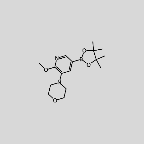 COc1ncc(B2OC(C)(C)C(C)(C)O2)cc1N1CCOCC1